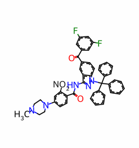 CN1CCN(c2ccc(C(=O)Nc3nn(C(c4ccccc4)(c4ccccc4)c4ccccc4)c4ccc(C(=O)c5cc(F)cc(F)c5)cc34)c([N+](=O)[O-])c2)CC1